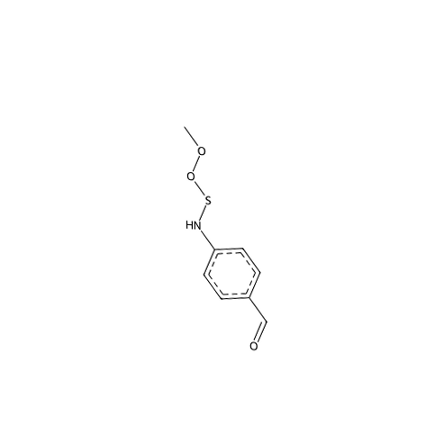 COOSNc1ccc(C=O)cc1